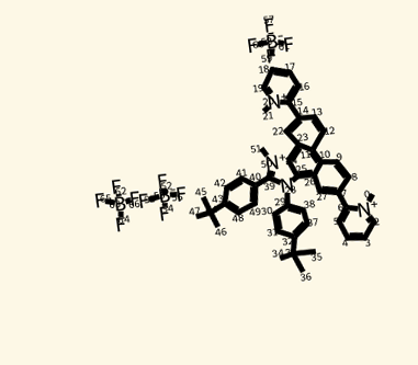 C[n+]1ccccc1-c1ccc2c3ccc(-c4cccc[n+]4C)cc3c3c(c2c1)n(-c1ccc(C(C)(C)C)cc1)c(-c1ccc(C(C)(C)C)cc1)[n+]3C.F[B-](F)(F)F.F[B-](F)(F)F.F[B-](F)(F)F